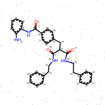 Nc1ccccc1NC(=O)c1ccc(CC(C(=O)NCCc2ccccc2)C(=O)NCCc2ccccc2)cc1